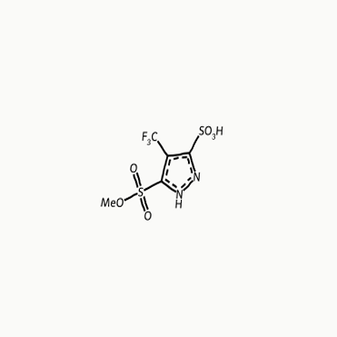 COS(=O)(=O)c1[nH]nc(S(=O)(=O)O)c1C(F)(F)F